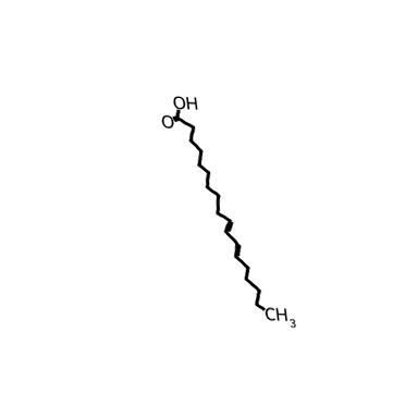 CCCCCC=CC=CCCCCCCCCC(=O)O